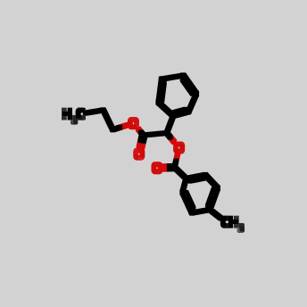 CCCOC(=O)C(OC(=O)c1ccc(C)cc1)c1ccccc1